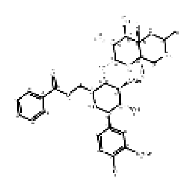 CO[C@H]1[C@H](O)[C@@H](c2ccc(Cl)c(NC(C)=O)c2)O[C@@H](COC(=O)c2ccccc2)[C@@H]1O[C@H]1O[C@@H]2COC(C)O[C@H]2[C@H](O)[C@H]1O